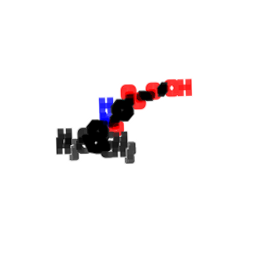 CC1(C)CCC(C)(C)c2cc(NC(=O)c3ccc(C(=O)OCCOCCO)cc3)ccc21